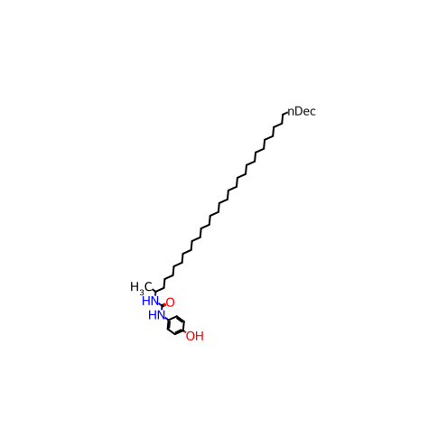 CCCCCCCCCCCCCCCCCCCCCCCCCCCCCCCCCCCCCCC(C)NC(=O)Nc1ccc(O)cc1